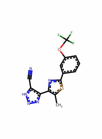 Cc1sc(-c2cccc(OC(F)(F)F)c2)nc1-c1nn[nH]c1C#N